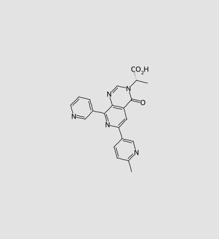 Cc1ccc(-c2cc3c(=O)n([C@@H](C)C(=O)O)cnc3c(-c3cccnc3)n2)cn1